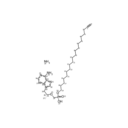 C#CCCCCCCCCCCCCCCCCCCOP(=O)(O)CO[C@H](C)Cn1cnc2c(N)ncnc21.N